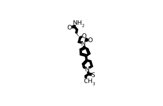 CCC(=S)N1CC=C(c2ccc(N3C[C@H](CCC(N)=O)OC3=O)cc2)CC1